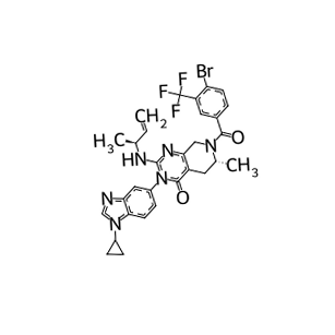 C=C[C@H](C)Nc1nc2c(c(=O)n1-c1ccc3c(c1)ncn3C1CC1)C[C@@H](C)N(C(=O)c1ccc(Br)c(C(F)(F)F)c1)C2